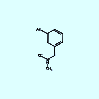 CC(=O)c1cccc(C[NH+](C)[O-])c1